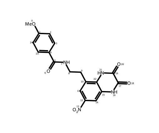 COc1ccc(C(=O)NCCc2cc([N+](=O)[O-])cc3[nH]c(=O)c(=O)[nH]c23)cc1